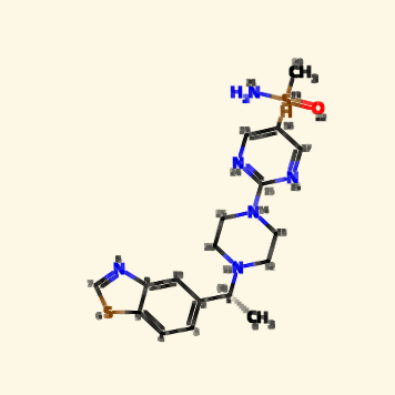 C[C@H](c1ccc2scnc2c1)N1CCN(c2ncc([SH](C)(N)=O)cn2)CC1